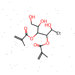 C=C(C)C(=O)OC(C(O)CC)C(OC(=O)C(=C)C)C(O)CO